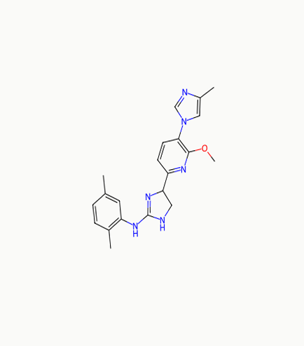 COc1nc(C2CNC(Nc3cc(C)ccc3C)=N2)ccc1-n1cnc(C)c1